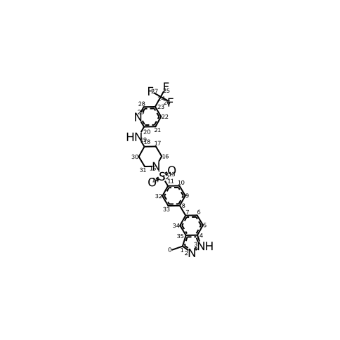 Cc1n[nH]c2ccc(-c3ccc(S(=O)(=O)N4CCC(Nc5ccc(C(F)(F)F)cn5)CC4)cc3)cc12